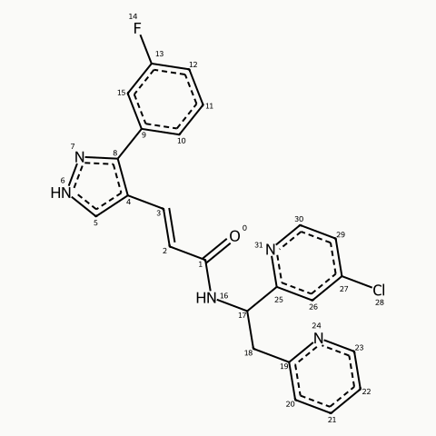 O=C(C=Cc1c[nH]nc1-c1cccc(F)c1)NC(Cc1ccccn1)c1cc(Cl)ccn1